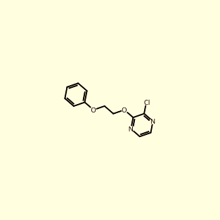 Clc1nccnc1OCCOc1ccccc1